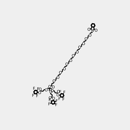 O=C(CCOCC(COCCC(=O)Oc1c(F)c(F)cc(F)c1F)(COCCC(=O)Oc1c(F)c(F)cc(F)c1F)OC(=O)CCOCCOCCOCCOCCOCCOCCOCCOCCOCCOCCOCCOCCN1C(=O)c2ccccc2C1=O)Oc1c(F)c(F)cc(F)c1F